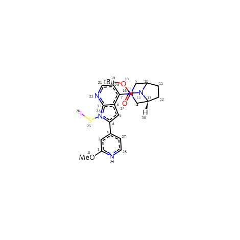 COc1cc(-c2cc3c(N4CC5CC[C@H](C4)N5C(=O)OC(C)(C)C)ccnc3n2SI)ccn1